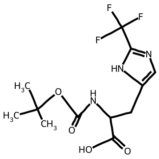 CC(C)(C)OC(=O)NC(Cc1cnc(C(F)(F)F)[nH]1)C(=O)O